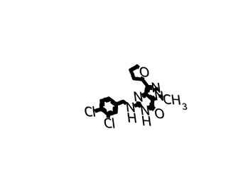 Cn1nc(C2CCCO2)c2nc(NCc3ccc(Cl)c(Cl)c3)[nH]c(=O)c21